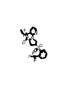 CCOC(=O)[C@H]1C[C@@H](S(=O)(=O)c2ccccc2C(F)(F)F)CN1c1ncccc1C(F)(F)F